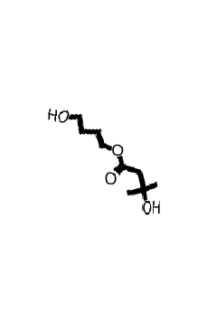 CC(C)(O)CC(=O)OCCCCO